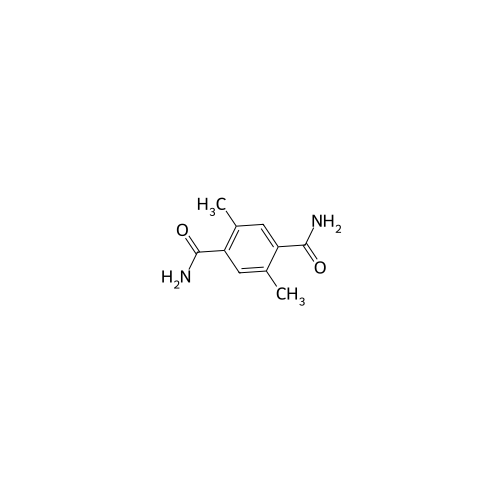 Cc1cc(C(N)=O)c(C)cc1C(N)=O